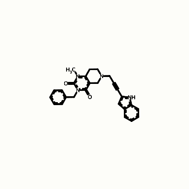 Cn1c2c(c(=O)n(Cc3ccccc3)c1=O)CN(CC#Cc1cc3ccccc3[nH]1)CC2